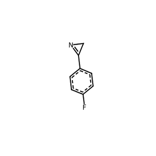 Fc1ccc(C2=NC2)cc1